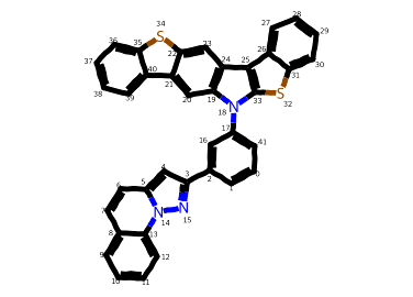 c1cc(-c2cc3ccc4ccccc4n3n2)cc(-n2c3cc4c(cc3c3c5ccccc5sc32)sc2ccccc24)c1